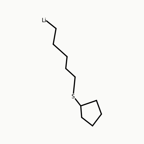 [Li][CH2]CCCCSC1CCCC1